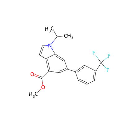 COC(=O)c1cc(-c2cccc(C(F)(F)F)c2)cc2c1ccn2C(C)C